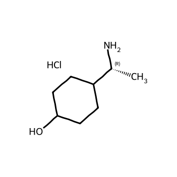 C[C@@H](N)C1CCC(O)CC1.Cl